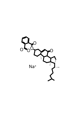 CC(C)CCC[C@@H](C)[C@H]1CCC2C3C(=O)C=C4CC(OC(=O)c5ccccc5C(=O)[O-])CC[C@]4(C)C3CC[C@@]21C.[Na+]